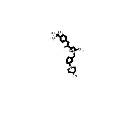 Cc1cc(C(F)=Cc2ccc(C(C)(C)C(F)(F)F)cc2)nn1Cc1cccc(N2CCC(C#N)CC2)c1